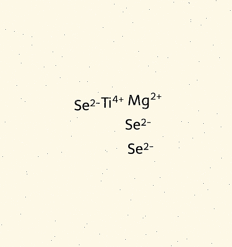 [Mg+2].[Se-2].[Se-2].[Se-2].[Ti+4]